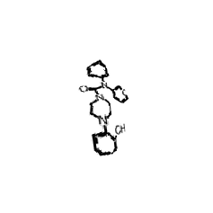 O=C(N1CCN(c2ccccc2O)CC1)N(c1ccccc1)c1ccccc1